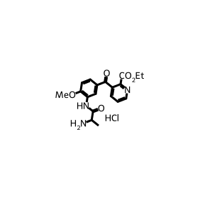 CCOC(=O)c1ncccc1C(=O)c1ccc(OC)c(NC(=O)C(C)N)c1.Cl